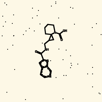 O=C(NCC1CC12CCCCN2C(=O)O)c1cc2ccncc2s1